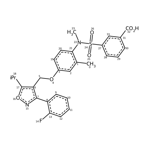 Cc1cc(OCc2c(-c3ccccc3F)noc2C(C)C)ccc1N(C)S(=O)(=O)c1cccc(C(=O)O)c1